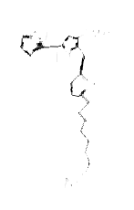 COc1cc(-c2ccc[nH]2)[nH]c1/C=C1\C=CC(CCCCCCCC#N)=N1